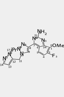 COc1c(F)ccc2c(-c3cn(Cc4ccnn4C(C)C)nn3)nc(N)nc12